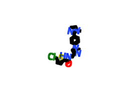 CN1CCN=C1c1ccc(-n2cnc(CNC(=O)c3ccc(Cl)s3)c2)cc1